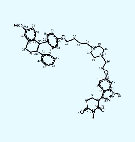 CN1C(=O)CCC(c2nn(C)c3cc(OCCN4CCN(CCCCOc5ccc([C@@H]6c7ccc(O)cc7CC[C@@H]6c6ccccc6)cc5)CC4)ccc23)C1=O